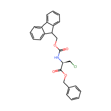 O=C(N[C@@H](CCl)C(=O)OCc1ccccc1)OCC1c2ccccc2-c2ccccc21